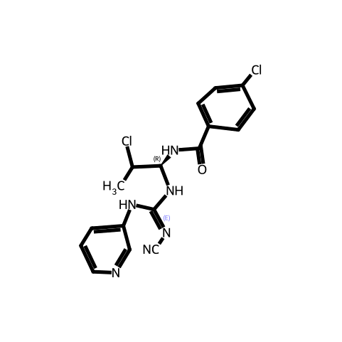 CC(Cl)[C@@H](NC(=O)c1ccc(Cl)cc1)N/C(=N/C#N)Nc1cccnc1